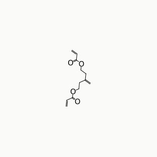 C=CC(=O)OCCC(=C)CCOC(=O)C=C